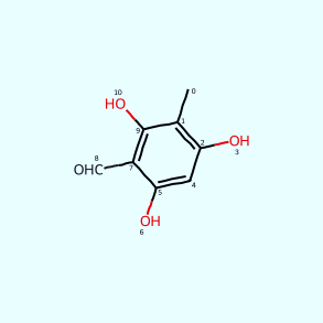 Cc1c(O)cc(O)c(C=O)c1O